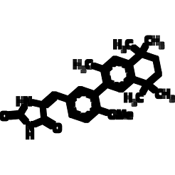 COc1ccc(/C=C2/NC(=O)NC2=O)cc1-c1cc2c(cc1C)C(C)(C)CCC2(C)C